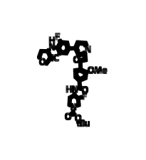 COc1cc(C(=O)NC2CCN(C(=O)OC(C)(C)C)CC2F)ccc1-c1cc2nccc(-c3cc(F)c(NC4CCOCC4)c(C#N)c3)c2o1